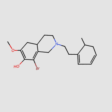 COC1=C(O)C(Br)=C2CN(CCC3=CC=CCC3C)CCC2C1